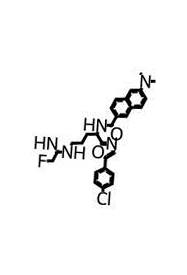 CN(C)c1ccc2cc(C(=O)NC(CCCNC(=N)CF)c3ncc(-c4ccc(Cl)cc4)o3)ccc2c1